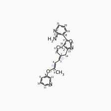 C=C/C(=C\C=C(/C)Oc1cccnc1)Cc1cc(-c2cccnc2N)on1